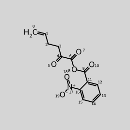 C=CCCC(=O)C(=O)OC(=O)c1ccccc1[N+](=O)[O-]